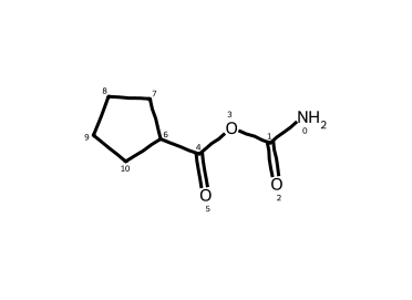 NC(=O)OC(=O)C1CCCC1